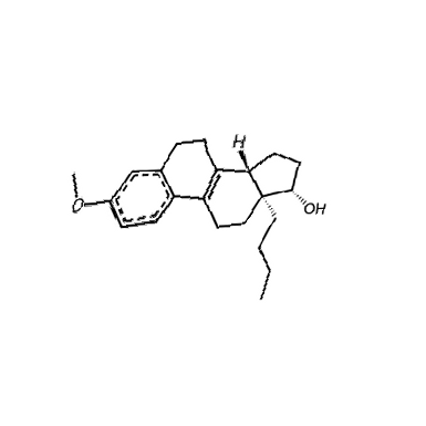 CCCC[C@]12CCC3=C(CCc4cc(OC)ccc43)[C@@H]1CC[C@@H]2O